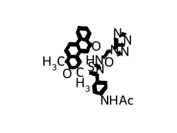 CC(=O)Nc1ccc(-c2csc(NC(=O)Cn3cnc4ncncc43)n2)cc1.CC1C=c2c(ccc3c2=CC(=O)c2ccccc2-3)C(C)C1=O